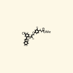 COC(=O)CCc1ccc(OCC[C@@H](C)Oc2ccc(Cl)cc2-c2cc3ccccc3o2)cc1C